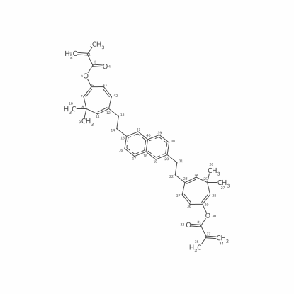 C=C(C)C(=O)OC1=CC(C)(C)C=C(CCc2ccc3cc(CCC4=CC(C)(C)C=C(OC(=O)C(=C)C)C=C4)ccc3c2)C=C1